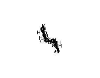 CCN(CC)CCNC(=O)Nc1cc(Oc2ccc(NC(=O)CC(=O)Nc3ccc(F)cc3)c(Cl)c2)ccn1